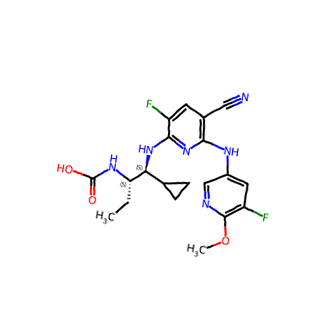 CC[C@H](NC(=O)O)[C@@H](Nc1nc(Nc2cnc(OC)c(F)c2)c(C#N)cc1F)C1CC1